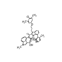 Cc1cc(OCCCc2c3n(c4c(-c5c(C)ncnc5C)cccc24)[C@H](C)C(Cl)N(c2cccc4c2c(C(=O)O)cn4C)C3=O)cc(C)c1Cl